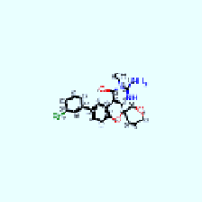 CN(C(=N)N)C(=O)C1C[C@@]2(CCCOC2)Oc2ccc(-c3cccc(Br)c3)cc21